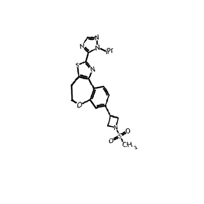 CC(C)n1ncnc1-c1nc2c(s1)CCOc1cc(C3CN(S(C)(=O)=O)C3)ccc1-2